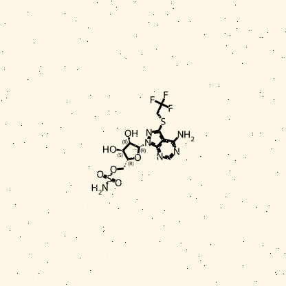 Nc1ncnc2c1c(SCC(F)(F)F)nn2[C@@H]1O[C@H](COS(N)(=O)=O)[C@@H](O)[C@H]1O